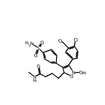 CNC(=O)CCCC1ON(O)C(c2ccc(Cl)c(Cl)c2)=C1c1ccc(S(N)(=O)=O)cc1